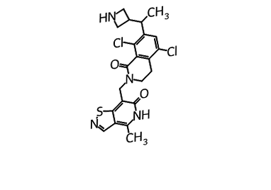 Cc1[nH]c(=O)c(CN2CCc3c(Cl)cc(C(C)C4CNC4)c(Cl)c3C2=O)c2sncc12